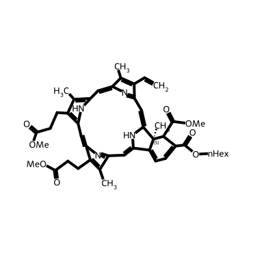 C=CC1=C(C)c2cc3[nH]c(cc4nc(cc5[nH]c(cc1n2)[C@]1(C)C5=CC=C(C(=O)OCCCCCC)C1C(=O)OC)C(C)=C4CCC(=O)OC)c(CCC(=O)OC)c3C